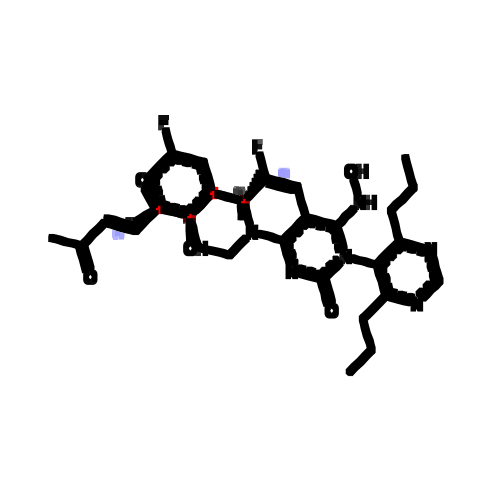 C=C(/C(F)=C\c1c(N2CCN(C(=O)/C=C/C(C)=O)C[C@@H]2C)nc(=O)n(-c2c(CCC)ncnc2CCC)c1NO)c1cc(F)cc(F)c1O